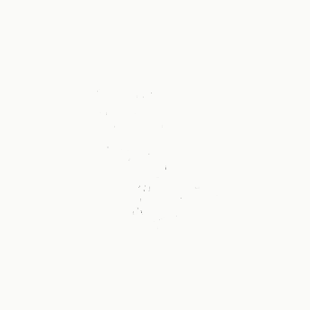 O=C(O)c1ccnnc1Sc1ccc2c(c1)OCCO2